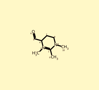 CC1=[N+](C)C(C=O)CCN1C